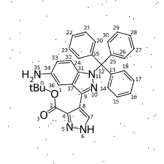 CC(C)(C)OC(=O)c1n[nH]cc1-c1nn(C(c2ccccc2)(c2ccccc2)c2ccccc2)c2ccc(N)cc12